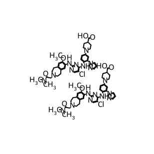 COc1cc2c(cc1Nc1ncc(Cl)c(Nc3ccc(N4CCC(C(=O)O)CC4)cc3-n3cccn3)n1)CCN(CC(=O)N(C)C)CC2.COc1cc2c(cc1Nc1ncc(Cl)c(Nc3ccc(N4CCC(C(=O)O)CC4)cc3-n3cccn3)n1)CCN(CC(=O)N(C)C)CC2